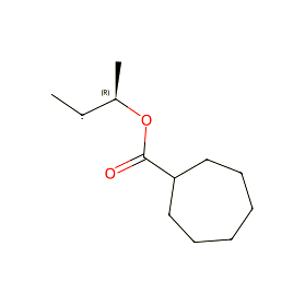 C[CH][C@@H](C)OC(=O)C1CCCCCC1